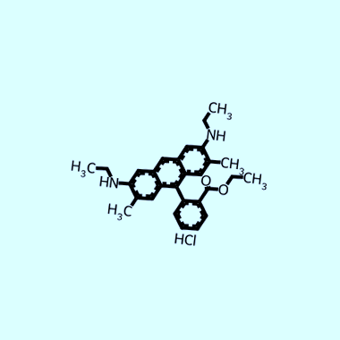 CCNc1cc2cc3cc(NCC)c(C)cc3c(-c3ccccc3C(=O)OCC)c2cc1C.Cl